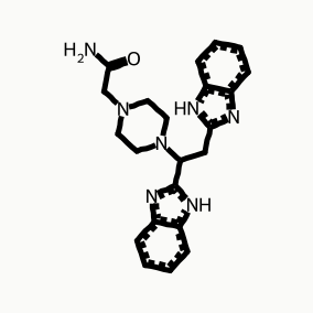 NC(=O)CN1CCN(C(Cc2nc3ccccc3[nH]2)c2nc3ccccc3[nH]2)CC1